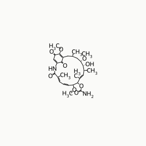 COC1=C2C[C@@H](C)C[C@H](OC)[C@H](O)[C@@H](C)/C=C(\C)C(OC(N)=O)[C@@H](OC)/C=C\C=C(/C)C(=O)NC(=CC1=O)C2=O